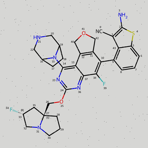 N#Cc1c(N)sc2cccc(-c3c4c(c5c(N6C7CCC6CNC7)nc(OC[C@@]67CCCN6C[C@H](F)C7)nc5c3F)COC4)c12